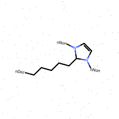 CCCCCCCCCCCCCCCC1N(CCCCCCCCC)C=CN1CCCCCCCCC